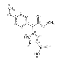 COC(=O)C(c1ccc(OC)cc1)c1cc(C(=O)O)n[nH]1